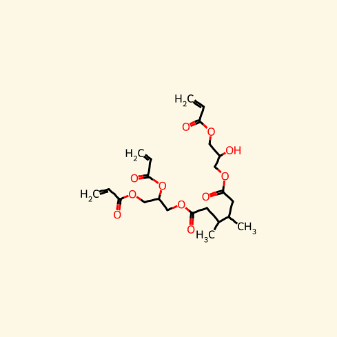 C=CC(=O)OCC(O)COC(=O)CC(C)C(C)CC(=O)OCC(COC(=O)C=C)OC(=O)C=C